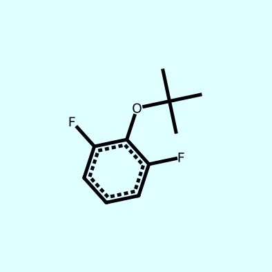 CC(C)(C)Oc1c(F)cccc1F